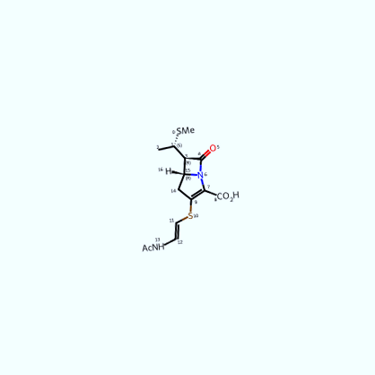 CS[C@@H](C)[C@H]1C(=O)N2C(C(=O)O)=C(SC=CNC(C)=O)C[C@H]12